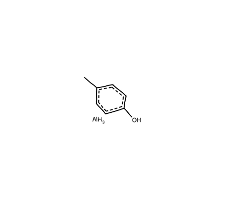 Cc1ccc(O)cc1.[AlH3]